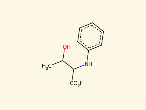 CC(O)C(Nc1ccccc1)C(=O)O